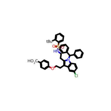 CC(C)(C)c1ccccc1S(=O)(=O)NCCc1c(CCOc2ccc(C(=O)O)cc2)c2cc(Cl)ccc2n1C(c1ccccc1)c1ccccc1